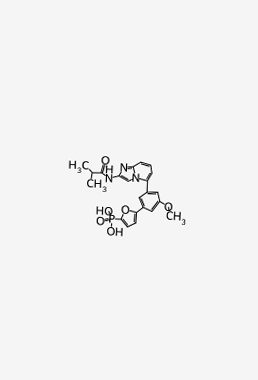 COc1cc(-c2ccc(P(=O)(O)O)o2)cc(-c2cccc3nc(NC(=O)C(C)C)cn23)c1